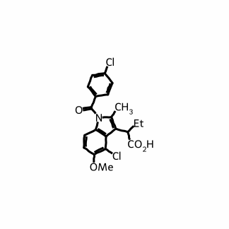 CCC(C(=O)O)c1c(C)n(C(=O)c2ccc(Cl)cc2)c2ccc(OC)c(Cl)c12